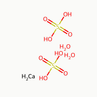 O.O.O=S(=O)(O)O.O=S(=O)(O)O.[CaH2]